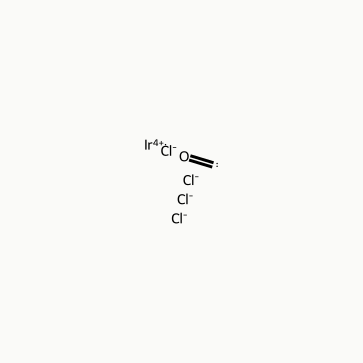 [C]=O.[Cl-].[Cl-].[Cl-].[Cl-].[Ir+4]